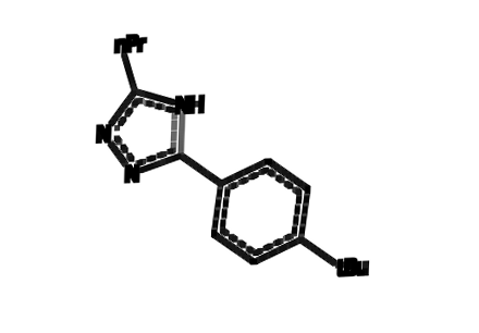 CCCc1nnc(-c2ccc(C(C)(C)C)cc2)[nH]1